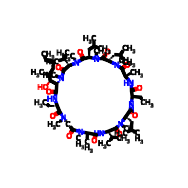 C/C=C/C[C@@H](C)[C@@H](O)[C@H]1C(=O)N[C@@H](CC)C(=O)N(C)CC(=O)N(C)C(C)C(=O)N[C@@H](C(C)C)C(=O)N(C)[C@@H](CC(C)C)C(=O)NC(CC)C(=O)N[C@H](C)C(=O)N(C)[C@@H](CC(C)C)C(=O)N(C)[C@H](CC(C)C)C(=O)N(C)[C@@H](C(C)C)C(=O)N1C